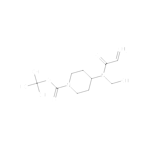 C=CC(=O)N(CC)C1CCN(C(=O)OC(C)(C)C)CC1